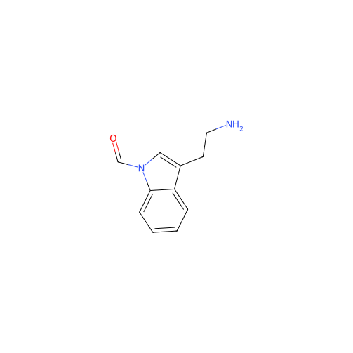 NCCc1cn(C=O)c2ccccc12